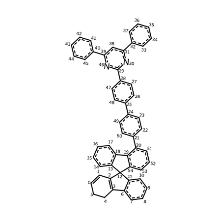 C1=CC2=C(CC1)c1ccccc1C21c2ccccc2-c2c(-c3ccc(-c4ccc(-c5nc(-c6ccccc6)cc(-c6ccccc6)n5)cc4)cc3)cccc21